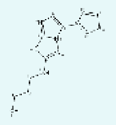 OCCCNc1nn2c(-c3ccsc3)cnc2s1